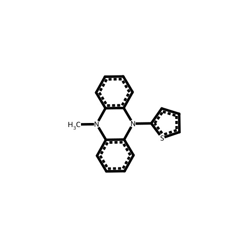 CN1c2ccccc2N(c2cccs2)c2ccccc21